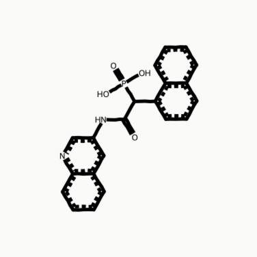 O=C(Nc1cnc2ccccc2c1)C(c1cccc2ccccc12)P(=O)(O)O